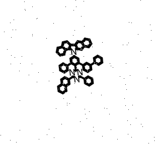 c1ccc(-c2cccc(-c3cc(-n4c5cc6ccccc6cc5c5ccc6ccccc6c54)cc(-c4ccccc4)c3-c3nc(-c4ccccc4)nc(-c4ccc5ccccc5c4)n3)c2)cc1